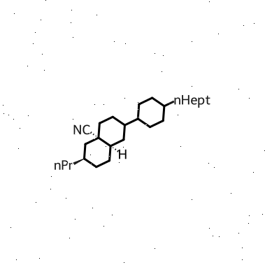 CCCCCCCC1CCC(C2CC[C@]3(C#N)C[C@H](CCC)CC[C@@H]3C2)CC1